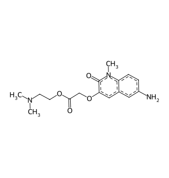 CN(C)CCOC(=O)COc1cc2cc(N)ccc2n(C)c1=O